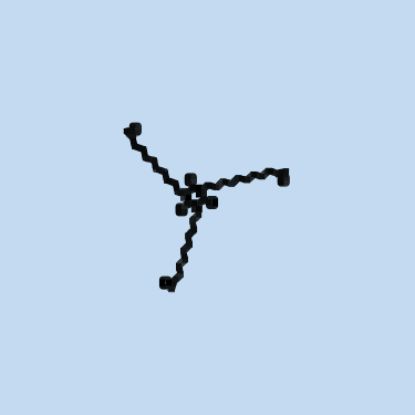 O=c1n(CCCCCCCCCC2CO2)c(=O)n(CCCCCCCCCC2CO2)c(=O)n1CCCCCCCCCC1CO1